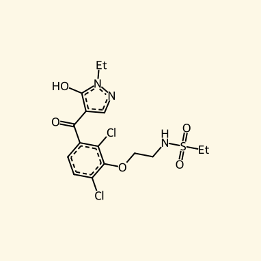 CCn1ncc(C(=O)c2ccc(Cl)c(OCCNS(=O)(=O)CC)c2Cl)c1O